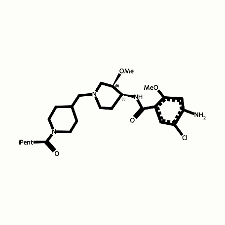 CCCC(C)C(=O)N1CCC(CN2CC[C@H](NC(=O)c3cc(Cl)c(N)cc3OC)[C@H](OC)C2)CC1